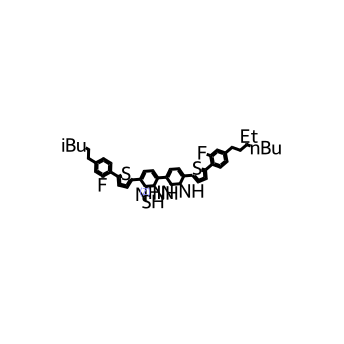 CCCCC(CC)CCc1ccc(-c2ccc(C3=CC=C(C4=CC=C(c5ccc(-c6ccc(CCC(C)CC)cc6F)s5)/C(=N/S)C4=N)C(=N)C3=N)s2)c(F)c1